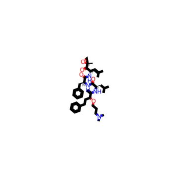 C=C(N[C@@H](CC(C)C)C(=O)N[C@@H](Cc1ccccc1)C(=O)N[C@@H](C=C(C)C)C(=O)[C@@]1(C)CO1)C(CCc1ccccc1)OCCCN(C)C